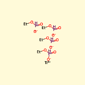 CCO[PH](=O)[O-].CCO[PH](=O)[O-].CCO[PH](=O)[O-].CCO[PH](=O)[O-].[Ti+4]